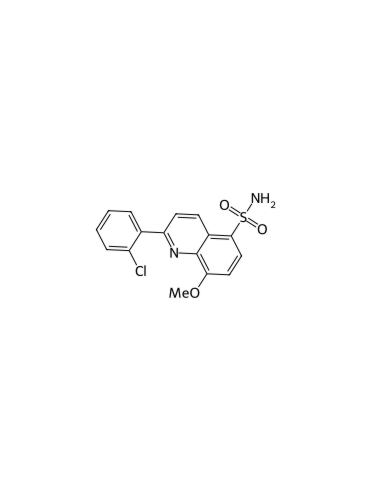 COc1ccc(S(N)(=O)=O)c2ccc(-c3ccccc3Cl)nc12